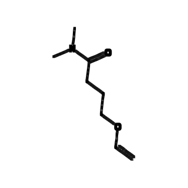 C=COCCCC(=O)N(C)C